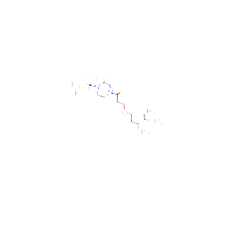 CC(C)C(C)CCOCCC(=O)N1CCN(C(C)(C)C)CC1